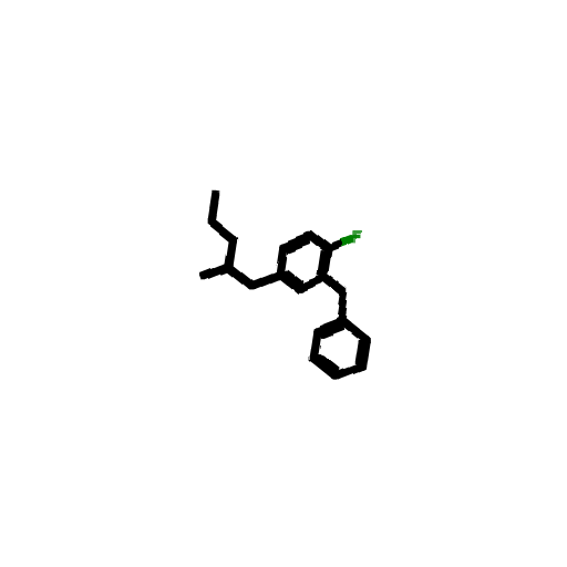 CCCC(C)Cc1ccc(F)c(Cc2ccccc2)c1